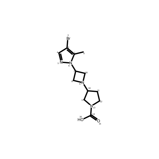 Cc1c(Br)cnn1C1CN(C2CCN(C(=O)O)C2)C1